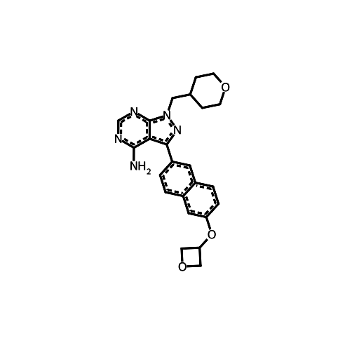 Nc1ncnc2c1c(-c1ccc3cc(OC4COC4)ccc3c1)nn2CC1CCOCC1